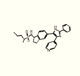 CCCC(C)S(=O)(=O)NC1CCc2cc(-c3[nH]c(-c4ccccc4)nc3-c3ccncc3)ccc21